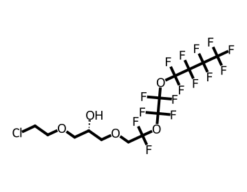 O[C@@H](COCCCl)COCC(F)(F)OC(F)(F)C(F)(F)OC(F)(F)C(F)(F)C(F)(F)C(F)(F)F